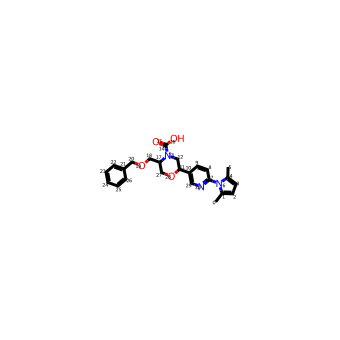 Cc1ccc(C)n1-c1ccc(C2CN(C(=O)O)C(COCc3ccccc3)CO2)cn1